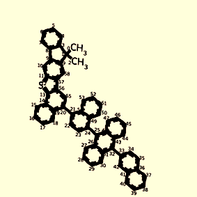 CC1(C)c2ccccc2-c2cc3sc4c5ccccc5c(-c5ccc(-c6c7ccccc7c(-c7ccc8ccccc8c7)c7ccccc67)c6ccccc56)cc4c3cc21